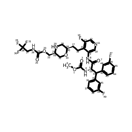 COC(=O)N[C@H](C(=O)Nc1cncc(F)c1CC[C@@H]1CN[C@H](COC(=O)NCC(F)(F)F)CO1)C(c1cccc(F)c1)c1cccc(F)c1